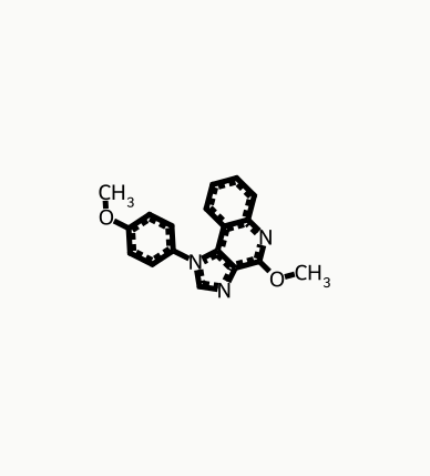 COc1ccc(-n2cnc3c(OC)nc4ccccc4c32)cc1